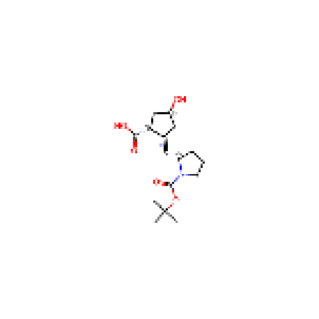 CC(C)(C)OC(=O)N1CCC[C@H]1/C=C1\C[C@H](O)C[C@H]1C(=O)O